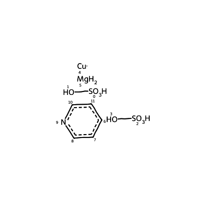 O=S(=O)(O)O.O=S(=O)(O)O.[Cu].[MgH2].c1ccncc1